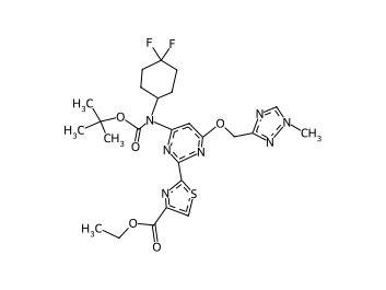 CCOC(=O)c1csc(-c2nc(OCc3ncn(C)n3)cc(N(C(=O)OC(C)(C)C)C3CCC(F)(F)CC3)n2)n1